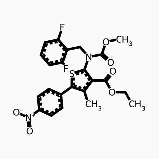 CCOC(=O)c1c(N(Cc2c(F)cccc2F)C(=O)OC)sc(-c2ccc([N+](=O)[O-])cc2)c1C